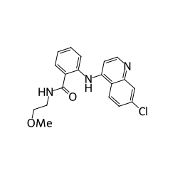 COCCNC(=O)c1ccccc1Nc1ccnc2cc(Cl)ccc12